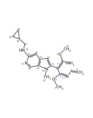 C=C/N=C(OC)\C(=C(/N)OC)c1cc2cc(NCC3CC3)ncc2n1C